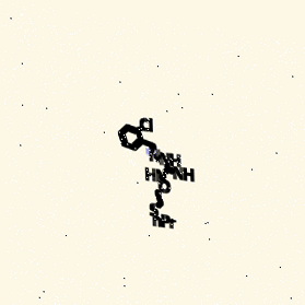 CCCSCCONC(=N)N/N=C/c1ccccc1Cl